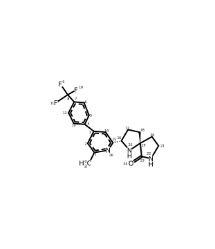 Cc1cc(-c2ccc(C(F)(F)F)cc2)cc([C@@H]2CC[C@]3(CCNC3=O)N2)n1